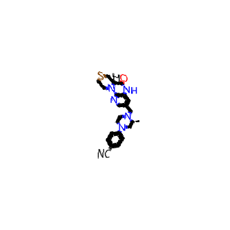 C[C@H]1CN(c2ccc(C#N)cc2)CCN1Cc1cnc2c(c1)NC(=O)[C@@H]1CSCCN21